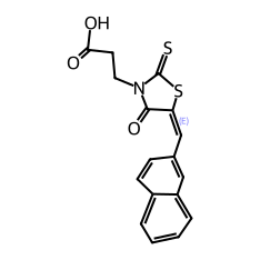 O=C(O)CCN1C(=O)/C(=C\c2ccc3ccccc3c2)SC1=S